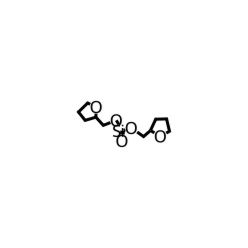 O=[Si](OCC1CCCO1)OCC1CCCO1